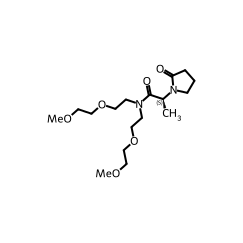 COCCOCCN(CCOCCOC)C(=O)[C@H](C)N1CCCC1=O